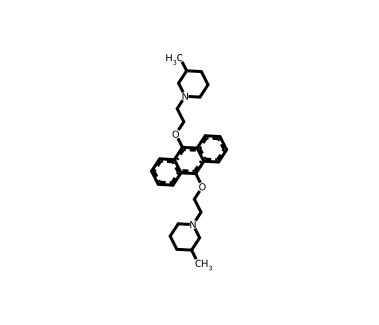 CC1CCCN(CCOc2c3ccccc3c(OCCN3CCCC(C)C3)c3ccccc23)C1